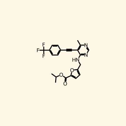 Cc1ncnc(NCc2ccc(C(=O)OC(C)C)o2)c1C#Cc1ccc(C(F)(F)F)cc1